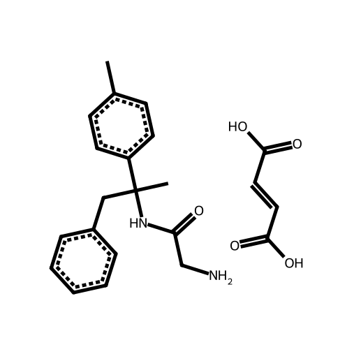 Cc1ccc(C(C)(Cc2ccccc2)NC(=O)CN)cc1.O=C(O)C=CC(=O)O